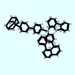 c1ccc(-c2cccc3cccc(-c4ccc(N(c5ccc(-c6ccc(C78CC9CC(CC(C9)C7)C8)cc6)cc5)c5cccc6c5sc5ccccc56)cc4)c23)cc1